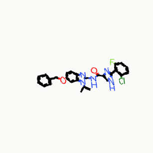 CC(C)n1c(NC(=O)c2c[nH]c(-c3c(F)cccc3Cl)n2)nc2ccc(OCc3ccccc3)cc21